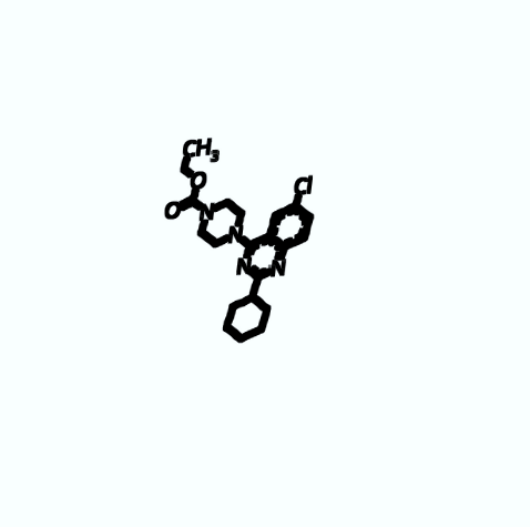 CCOC(=O)N1CCN(c2nc(C3CCCCC3)nc3ccc(Cl)cc23)CC1